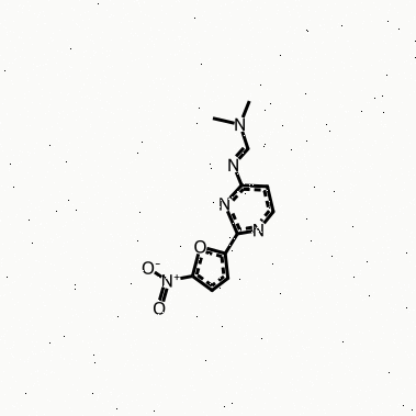 CN(C)/C=N/c1ccnc(-c2ccc([N+](=O)[O-])o2)n1